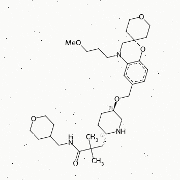 COCCCN1CC2(CCOCC2)Oc2ccc(CO[C@@H]3CC[C@@H](CC(C)(C)C(=O)NCC4CCOCC4)NC3)cc21